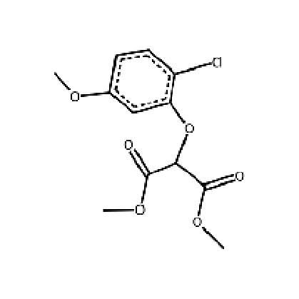 COC(=O)C(Oc1cc(OC)ccc1Cl)C(=O)OC